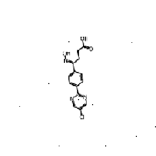 O=C(O)CCC(=NO)c1ccc(-c2ncc(Cl)cn2)cc1